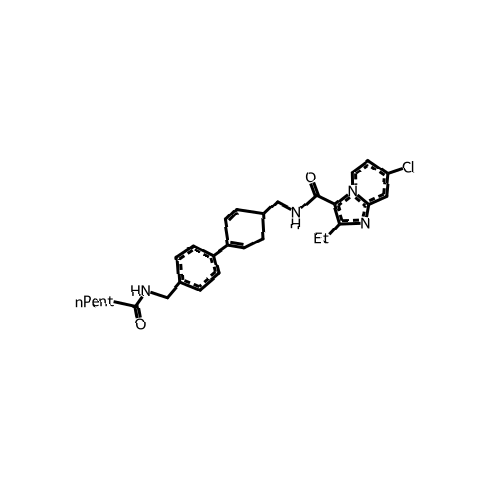 CCCCCC(=O)NCc1ccc(C2=CCC(CNC(=O)c3c(CC)nc4cc(Cl)ccn34)C=C2)cc1